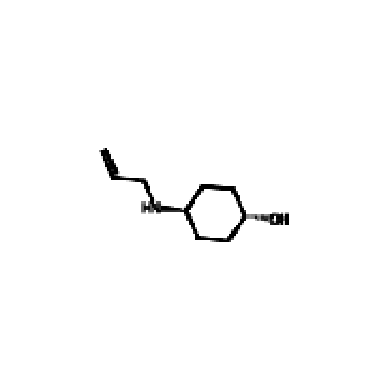 C=CCN[C@H]1CC[C@H](O)CC1